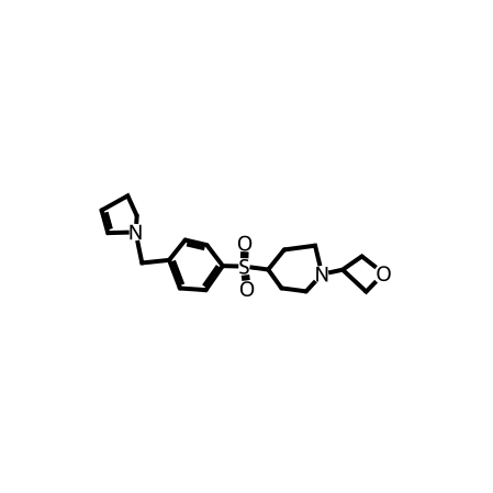 O=S(=O)(c1ccc(CN2C=CCC2)cc1)C1CCN(C2COC2)CC1